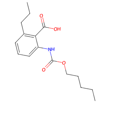 CCCCCOC(=O)Nc1cccc(CCC)c1C(=O)O